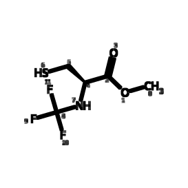 COC(=O)[C@H](CS)NC(F)(F)F